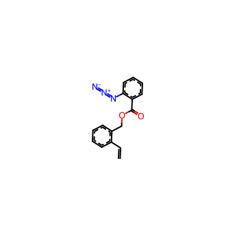 C=Cc1ccccc1COC(=O)c1ccccc1N=[N+]=[N-]